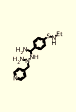 CCNSc1ccc(C(N)NN(N)Cc2ccncc2)cc1